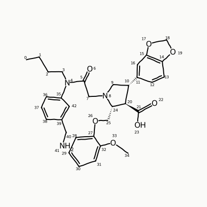 CCCCN(C(=O)CN1C[C@H](c2ccc3c(c2)OCO3)[C@@H](C(=O)O)[C@@H]1COc1ccccc1OC)c1cccc(CN)c1